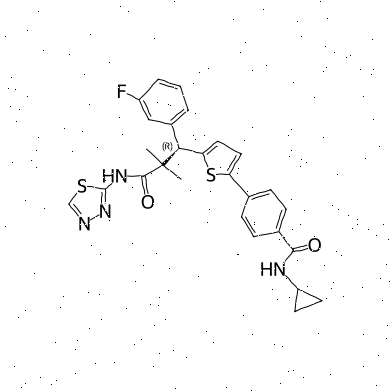 CC(C)(C(=O)Nc1nncs1)[C@@H](c1cccc(F)c1)c1ccc(-c2ccc(C(=O)NC3CC3)cc2)s1